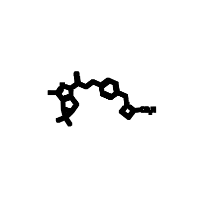 Cc1nn(C(=O)CCc2ccc(CN3CCC3C(=O)O)cc2)c2c1C1C(C2)C1(C)C